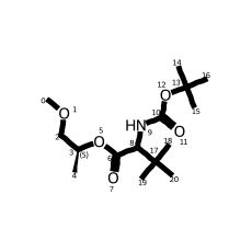 COC[C@H](C)OC(=O)C(NC(=O)OC(C)(C)C)C(C)(C)C